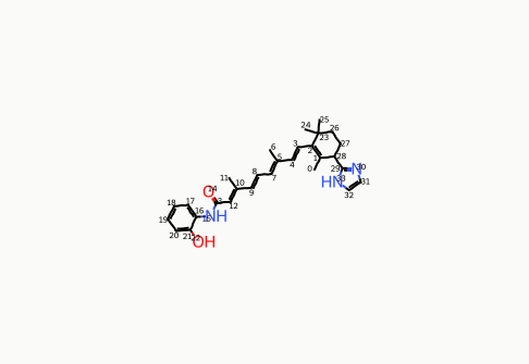 CC1=C(/C=C/C(C)=C/C=C/C(C)=C/C(=O)Nc2ccccc2O)C(C)(C)CCC1c1ncc[nH]1